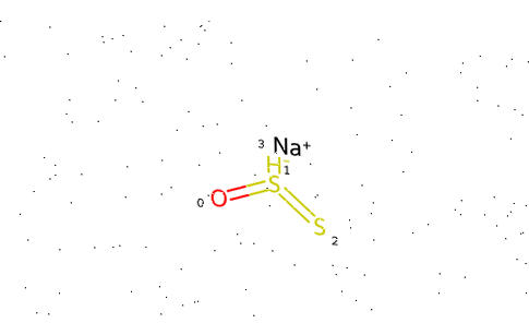 O=[SH-]=S.[Na+]